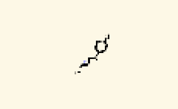 [CH2]/C=C/CSc1ccc(Cl)cc1